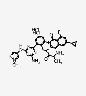 CC(N)C(=O)OCc1c(-c2nc(N)nc(Nc3cnn(C)c3)n2)cccc1-n1ccc2cc(C3CC3)cc(F)c2c1=O.Cl.Cl